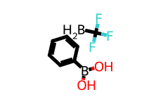 BC(F)(F)F.OB(O)c1ccccc1